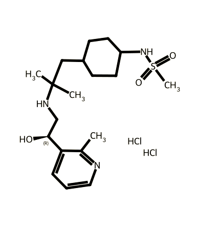 Cc1ncccc1[C@@H](O)CNC(C)(C)CC1CCC(NS(C)(=O)=O)CC1.Cl.Cl